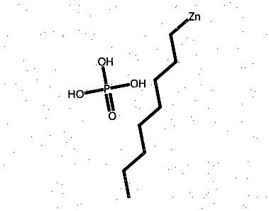 CCCCCCC[CH2][Zn].O=P(O)(O)O